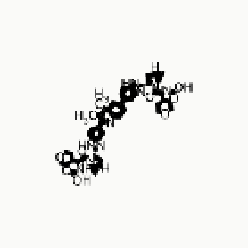 Cc1c(-c2ccc3[nH]c([C@@H]4C[C@H]5CC5N4C(=O)[C@H](NC(=O)O)C4CCOCC4)nc3c2)nc2ccc(-c3ccc4[nH]c([C@@H]5C[C@H]6CC6N5C(=O)[C@H](NC(=O)O)C5CCOCC5)nc4c3)cc2c1C